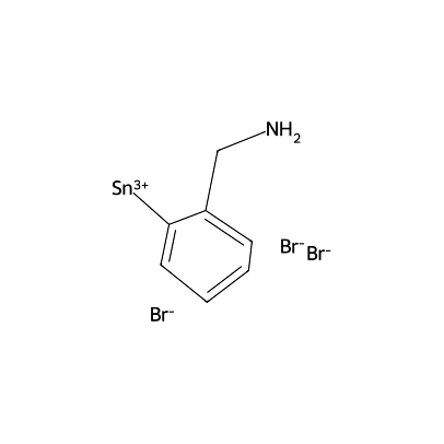 NCc1cccc[c]1[Sn+3].[Br-].[Br-].[Br-]